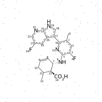 Cc1cc(F)c(N[C@H]2C=CCC(C)[C@@H]2C(=O)O)nc1-c1c[nH]c2ncc(F)cc12